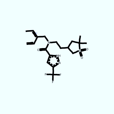 C=C/C(=C\C)CN(CCC1CC(C)(C)S(=O)(=O)C1)C(=O)c1cc(C(F)(F)F)n[nH]1